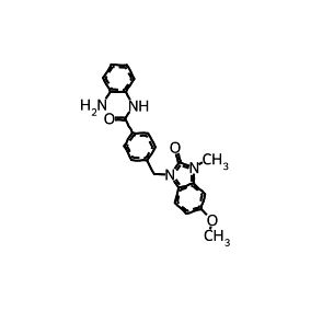 COc1ccc2c(c1)n(C)c(=O)n2Cc1ccc(C(=O)Nc2ccccc2N)cc1